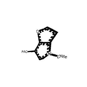 COn1cc(O)c2occc21